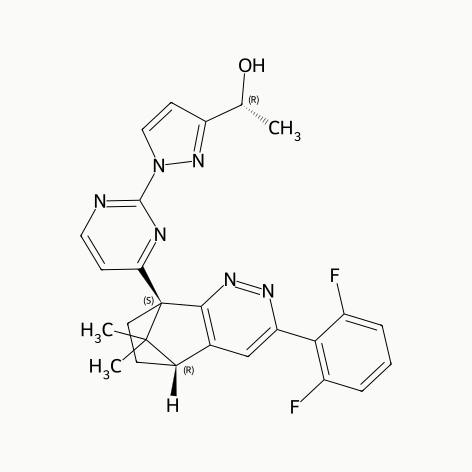 C[C@@H](O)c1ccn(-c2nccc([C@@]34CC[C@@H](c5cc(-c6c(F)cccc6F)nnc53)C4(C)C)n2)n1